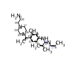 C=C(C)/C(=N\C=C/C)Nc1ccc(C(=C)N2CCN(CCN)CC2)c(C)c1